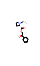 CN1CCC[C@H]1C(=O)OCC(=O)c1ccccc1